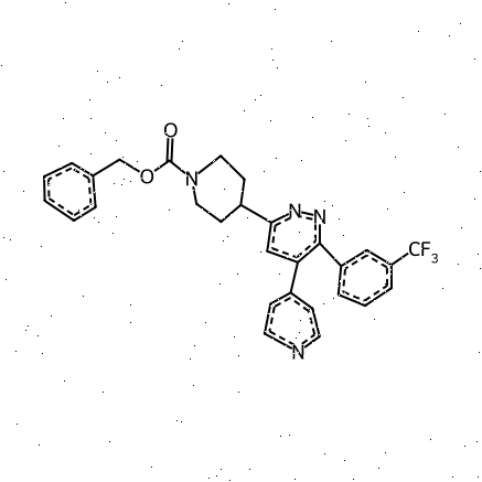 O=C(OCc1ccccc1)N1CCC(c2cc(-c3ccncc3)c(-c3cccc(C(F)(F)F)c3)nn2)CC1